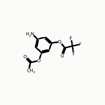 CC(=O)Oc1cc(N)cc(OC(=O)C(F)(F)F)c1